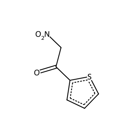 O=C(C[N+](=O)[O-])c1cccs1